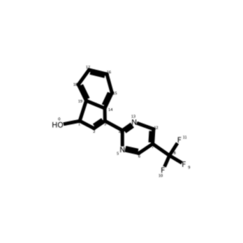 OC1C=C(c2ncc(C(F)(F)F)cn2)c2ccccc21